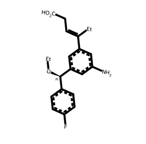 CCO[C@H](c1ccc(F)cc1)c1cc(N)cc(C(=CCC(=O)O)CC)c1